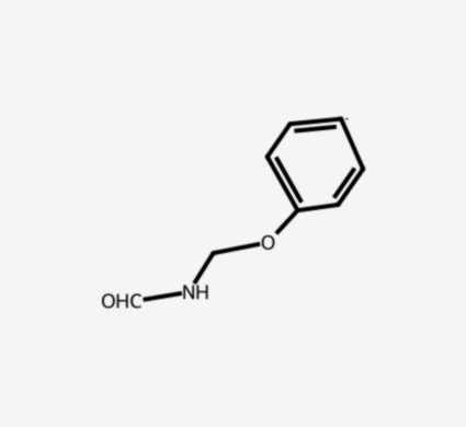 O=CNCOc1cc[c]cc1